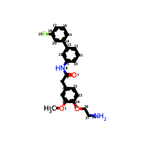 COc1cc(CC(=O)Nc2cccc(-c3cccc(F)c3)c2)ccc1OCCN